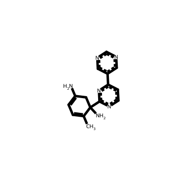 CC1=CC=C(N)CC1(N)c1nccc(-c2cncnc2)n1